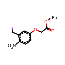 CC(C)(C)OC(=O)COc1ccc([N+](=O)[O-])c(CI)c1